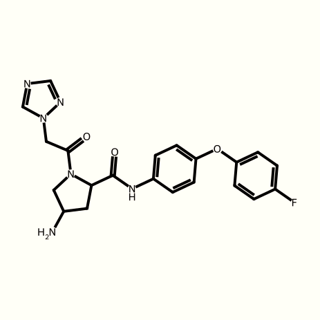 NC1CC(C(=O)Nc2ccc(Oc3ccc(F)cc3)cc2)N(C(=O)Cn2cncn2)C1